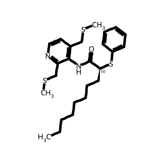 CCCCCCCC[C@H](Sc1ccccc1)C(=O)Nc1c(CSC)ccnc1CSC